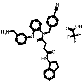 N#Cc1ccc(CN(C(=O)CCC(=O)NC2CCc3ccccc32)c2ccccc2Oc2cccc(CN)c2)cc1.O=C(O)C(F)(F)F